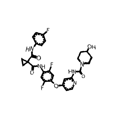 O=C(Nc1cc(Oc2cc(F)c(NC(=O)C3(C(=O)Nc4ccc(F)cc4)CC3)cc2F)ccn1)N1CCC(O)CC1